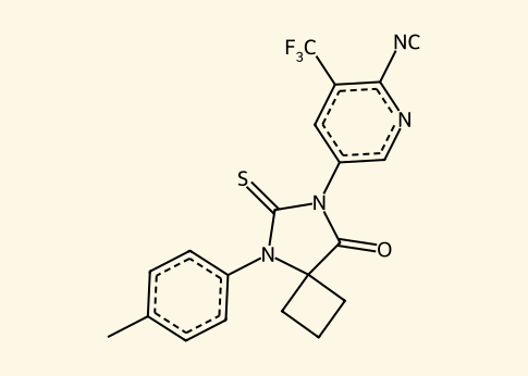 [C-]#[N+]c1ncc(N2C(=O)C3(CCC3)N(c3ccc(C)cc3)C2=S)cc1C(F)(F)F